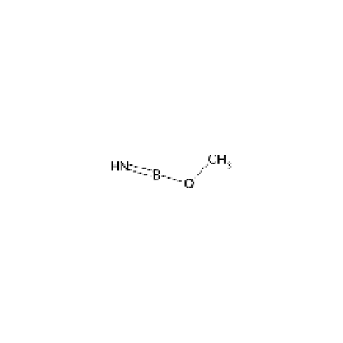 COB=N